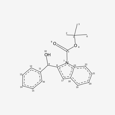 CC(C)(C)OC(=O)n1c(C(O)c2ccccc2)cc2ccccc21